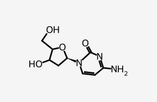 Nc1ccn([C@H]2CC(O)C(CO)O2)c(=O)n1